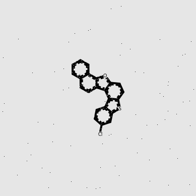 Clc1ccc2c(c1)sc1ccc3oc4c5ccccc5ccc4c3c12